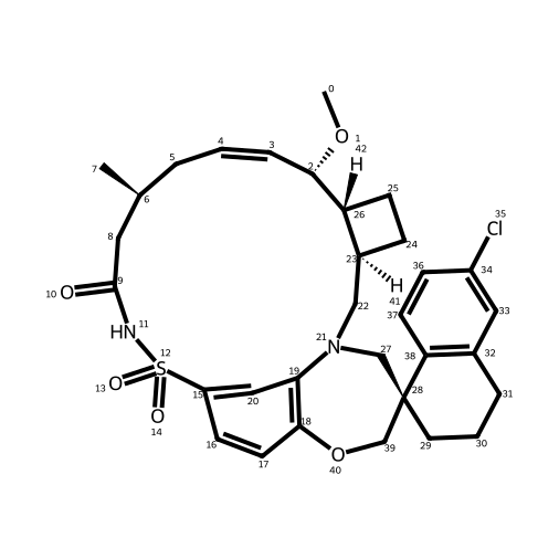 CO[C@H]1C=CC[C@H](C)CC(=O)NS(=O)(=O)c2ccc3c(c2)N(C[C@@H]2CC[C@H]21)C[C@@]1(CCCc2cc(Cl)ccc21)CO3